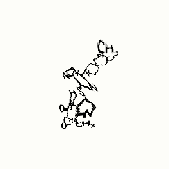 C[C@H]1CC2(CCN(c3ncc(Sc4ccnc5c4NC(=O)C4(COC4)N5C)c4nccn34)CC2)CO1